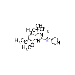 COc1ccc2c(C(C)(C)C)nc(/C=C/c3ccncc3)nc2c1OC